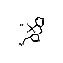 Cl.NCc1cnn(Cc2cnccc2C(F)(F)F)c1